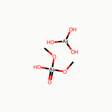 CO[As](=O)(O)OC.O[As](O)O